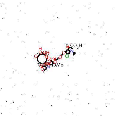 CC[C@@H]1OC(=O)[C@H](C)[C@H](O[C@@H]2C[C@@](C)(OC)[C@H](OC(=O)CCOCCOc3cc4c(=O)c(C(=O)O)cn(C5CC5)c4cc3Cl)[C@H](C)O2)[C@@H](C)[C@H](O[C@@H]2O[C@H](C)C[C@H](N(C)C)[C@@H]2O)C(C)(OC)C[C@H](C)C(=O)[C@H](C)[C@@H](O)C1(C)O